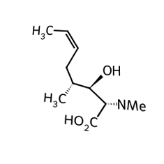 C/C=C\C[C@@H](C)[C@@H](O)[C@H](NC)C(=O)O